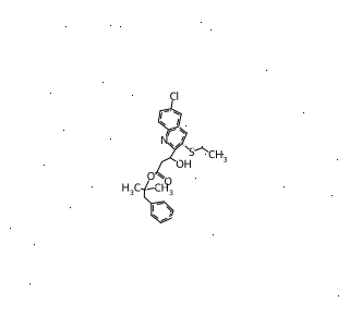 CCSc1cc2cc(Cl)ccc2nc1C(O)CC(=O)OC(C)(C)Cc1ccccc1